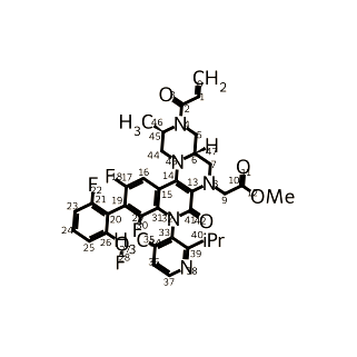 C=CC(=O)N1C[C@@H]2CN(CC(=O)OC)c3c(c4cc(F)c(-c5c(F)cccc5OF)c(F)c4n(-c4c(C)ccnc4C(C)C)c3=O)N2C[C@H]1C